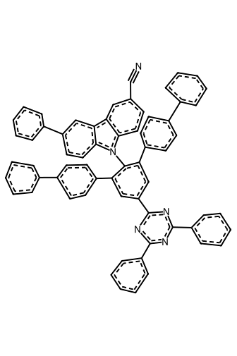 N#Cc1ccc2c(c1)c1cc(-c3ccccc3)ccc1n2-c1c(-c2ccc(-c3ccccc3)cc2)cc(-c2nc(-c3ccccc3)nc(-c3ccccc3)n2)cc1-c1ccc(-c2ccccc2)cc1